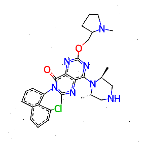 Cc1nc2c(N3[C@@H](C)CNC[C@@H]3C)nc(OCC3CCCN3C)nc2c(=O)n1-c1cccc2cccc(Cl)c12